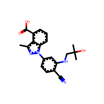 Cc1nn(-c2ccc(C#N)c(NCC(C)(C)O)c2)c2cccc(C(=O)O)c12